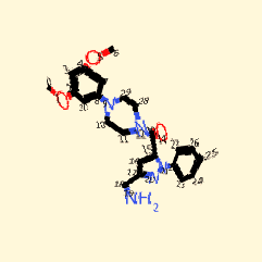 COc1cc(OC)cc(N2CCN(C(=O)c3cc(CN)nn3-c3ccccc3)CC2)c1